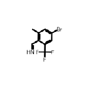 Cc1cc(Br)cc(C(F)(F)F)c1C=N